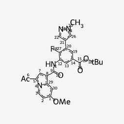 COc1ccn2c(C(C)=O)cc(C(=O)Nc3cc(C(=O)OC(C)(C)C)cc(-c4cnn(C)c4)c3F)c2c1